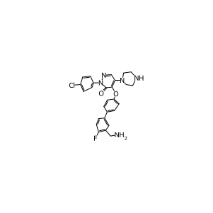 NCc1cc(-c2ccc(Oc3c(N4CCNCC4)cnn(-c4ccc(Cl)cc4)c3=O)cc2)ccc1F